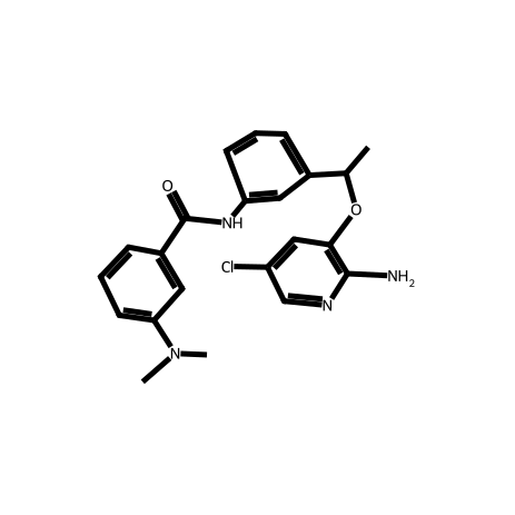 CC(Oc1cc(Cl)cnc1N)c1cccc(NC(=O)c2cccc(N(C)C)c2)c1